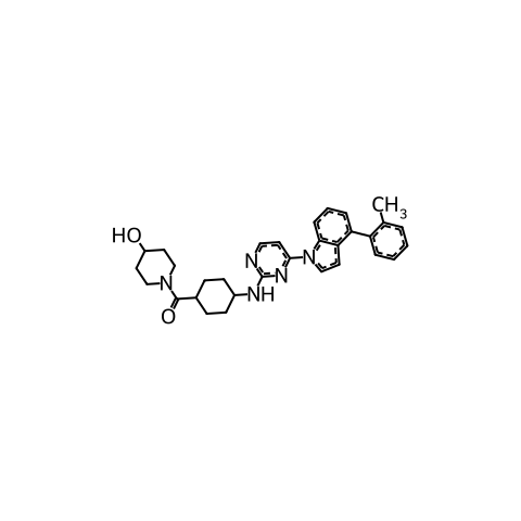 Cc1ccccc1-c1cccc2c1ccn2-c1ccnc(NC2CCC(C(=O)N3CCC(O)CC3)CC2)n1